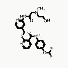 CN(CCO)CC(=O)Nc1cc(CSc2ncccc2C(=O)Nc2ccc(OC(F)F)cc2)ccn1